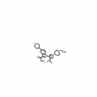 NC(=O)c1cn(-c2cn([C@H]3CC[C@H](CO)CC3)nc2C(F)F)[n+]2ccc(C3CCOCC3)nc12